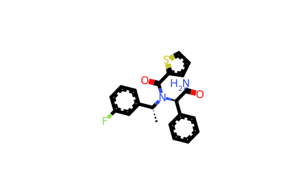 C[C@H](c1cccc(F)c1)N(C(=O)c1cccs1)[C@@H](C(N)=O)c1ccccc1